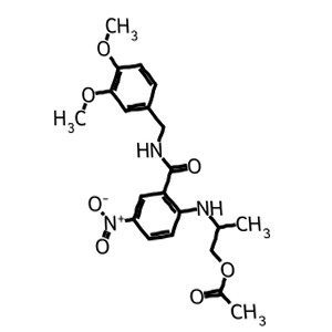 COc1ccc(CNC(=O)c2cc([N+](=O)[O-])ccc2NC(C)COC(C)=O)cc1OC